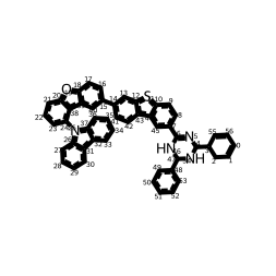 C1=CCC(C2N=C(c3ccc4sc5cc(-c6ccc7oc8cccc(-n9c%10ccccc%10c%10ccccc%109)c8c7c6)ccc5c4c3)NC(c3ccccc3)N2)C=C1